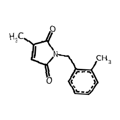 CC1=CC(=O)N(Cc2ccccc2C)C1=O